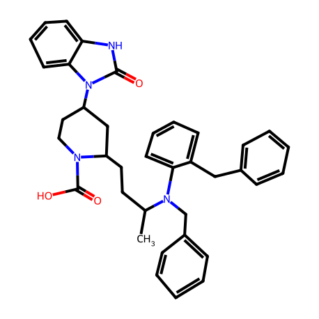 CC(CCC1CC(n2c(=O)[nH]c3ccccc32)CCN1C(=O)O)N(Cc1ccccc1)c1ccccc1Cc1ccccc1